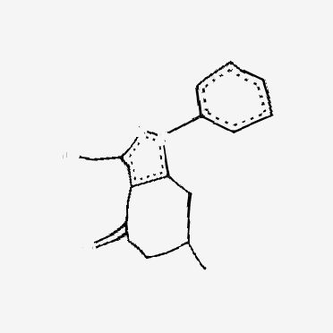 CC1CC(=O)c2c(C(C)C)nn(-c3ccccc3)c2C1